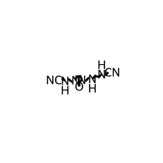 N#CCNCCNCCN1CCN(CCNCC#N)C1=O